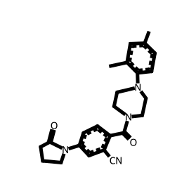 Cc1ccc(N2CCN(C(=O)c3ccc(N4CCCC4=O)cc3C#N)CC2)c(C)c1